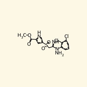 COC(=O)c1cc(S(=O)(=O)CC(=N)N(N)c2cccc(Cl)c2Cl)c[nH]1